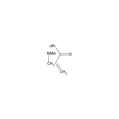 C=CC(=O)CCC.CNC